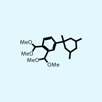 COC(OC)c1ccc(C2(C)CC(C)CC(C)C2)cc1C(OC)OC